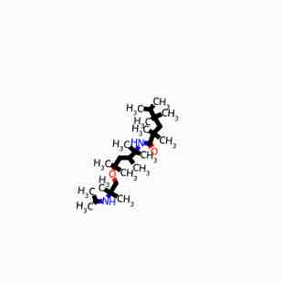 CC(C)NC(C)(C)COC(C)(C)CC(C)C(C)(C)NC(=O)C(C)(C)CC(C)(C)C(C)C